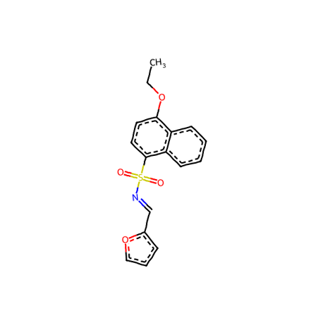 CCOc1ccc(S(=O)(=O)N=Cc2ccco2)c2ccccc12